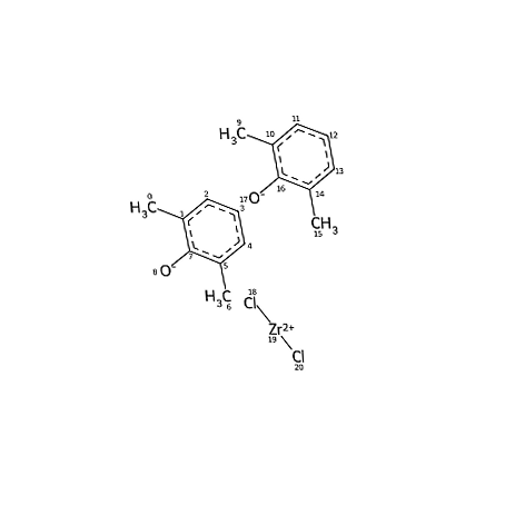 Cc1cccc(C)c1[O-].Cc1cccc(C)c1[O-].[Cl][Zr+2][Cl]